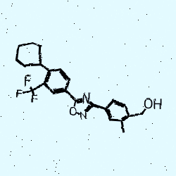 Cc1cc(-c2noc(-c3ccc(C4CCCCC4)c(C(F)(F)F)c3)n2)ccc1CO